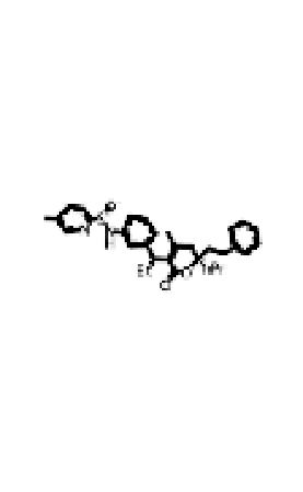 CCC[C@@]1(CCc2ccccc2)CC(C)=C(C(CC)c2cccc(N[S+]([O-])c3ccc(C)cn3)c2)C(=O)O1